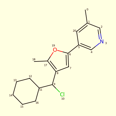 Cc1cncc(-c2cc(C(Cl)C3CCCCC3)c(C)o2)c1